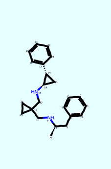 C[C@H](Cc1ccccc1)NCC1(CN[C@@H]2C[C@H]2c2ccccc2)CC1